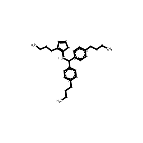 CCCCC1=C([SiH2]C(c2ccc(CCCC)cc2)c2ccc(CCCC)cc2)CC=C1